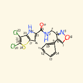 O=C(NCc1nocc1-c1ccccc1)c1cc2sc(Cl)c(Cl)c2[nH]1